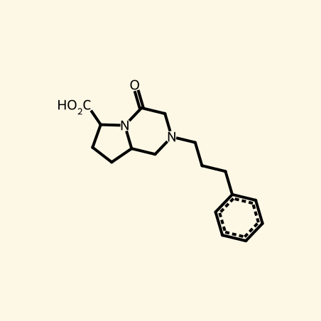 O=C(O)C1CCC2CN(CCCc3ccccc3)CC(=O)N21